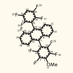 COc1c(F)c(F)c(-c2c3ccccc3c(-c3c(F)c(F)cc(F)c3F)c3c(F)cccc23)c(F)c1F